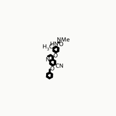 CNC(=O)Nc1ccc(Oc2ccnc3cc(OCc4ccccc4)c(C#N)cc23)cc1C